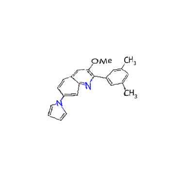 COc1cc2ccc(-n3cccc3)cc2nc1-c1cc(C)cc(C)c1